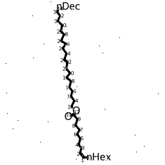 CCCCCC/C=C\CCCCCCCC(=O)OCCCCCCCCCCCCCCCCCCCCCCCCCCCCCCC